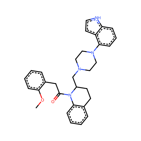 COc1ccccc1CC(=O)N1c2ccccc2CCC1CN1CCN(c2cccc3[nH]ccc23)CC1